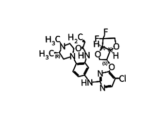 C=CC(=O)Nc1cc(Nc2ncc(Cl)c(O[C@H]3CO[C@@H]4[C@H]3OCC4(F)F)n2)ccc1N1CCN(C)[C@H](C)C1